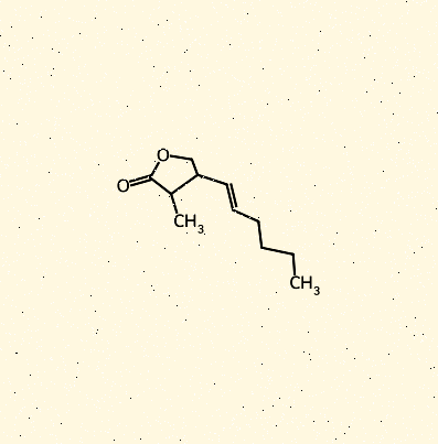 CCCCC=CC1COC(=O)C1C